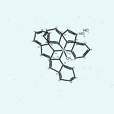 Cl.Cl.[CH3][Zr]([C]1=CC=CC1)([c]1ccccc1)([c]1ccccc1)([CH]1C=Cc2ccccc21)[CH]1C=Cc2ccccc21